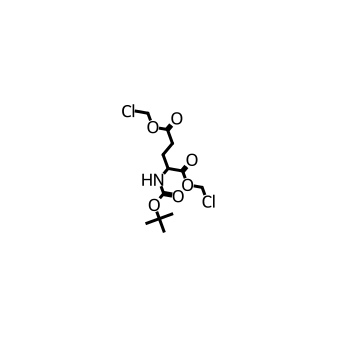 CC(C)(C)OC(=O)NC(CCC(=O)OCCl)C(=O)OCCl